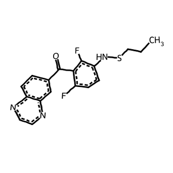 CCCSNc1ccc(F)c(C(=O)c2ccc3nccnc3c2)c1F